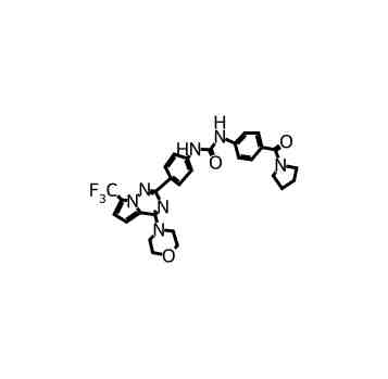 O=C(Nc1ccc(C(=O)N2CCCC2)cc1)Nc1ccc(-c2nc(N3CCOCC3)c3ccc(C(F)(F)F)n3n2)cc1